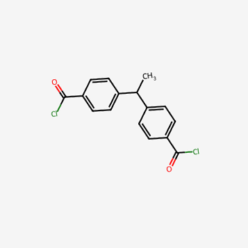 CC(c1ccc(C(=O)Cl)cc1)c1ccc(C(=O)Cl)cc1